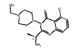 C[C@H](N)c1nc2cccc(Cl)c2c(=O)n1N1CCN(CC(C)(C)C)CC1